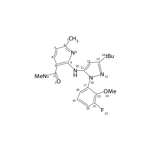 CNC(=O)c1ccc(C)nc1Nc1cc(C(C)(C)C)nn1-c1cccc(F)c1OC